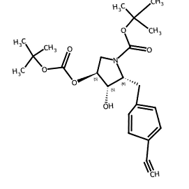 C#Cc1ccc(C[C@@H]2[C@H](O)[C@@H](OC(=O)OC(C)(C)C)CN2C(=O)OC(C)(C)C)cc1